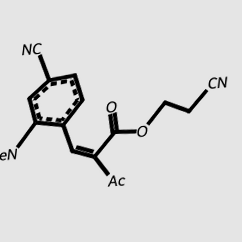 CNc1cc(C#N)ccc1/C=C(/C(C)=O)C(=O)OCCC#N